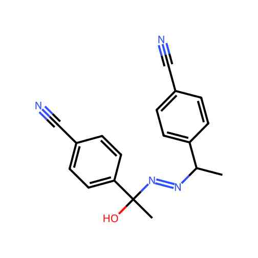 CC(/N=N/C(C)(O)c1ccc(C#N)cc1)c1ccc(C#N)cc1